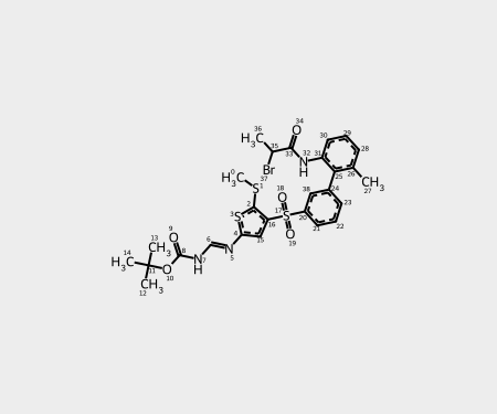 CSc1sc(/N=C/NC(=O)OC(C)(C)C)cc1S(=O)(=O)c1cccc(-c2c(C)cccc2NC(=O)C(C)Br)c1